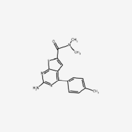 Cc1ccc(-c2nc(N)nc3sc(C(=O)N(C)C)cc23)cc1